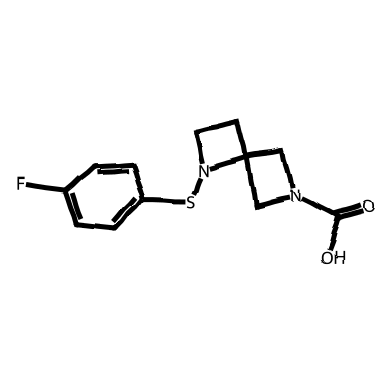 O=C(O)N1CC2(CCN2Sc2ccc(F)cc2)C1